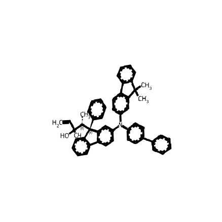 C=CC(C)(O)[C@H](C)[C@@]1(c2ccccc2)c2ccccc2-c2ccc(N(c3ccc(-c4ccccc4)cc3)c3ccc4c(c3)C(C)(C)c3ccccc3-4)cc21